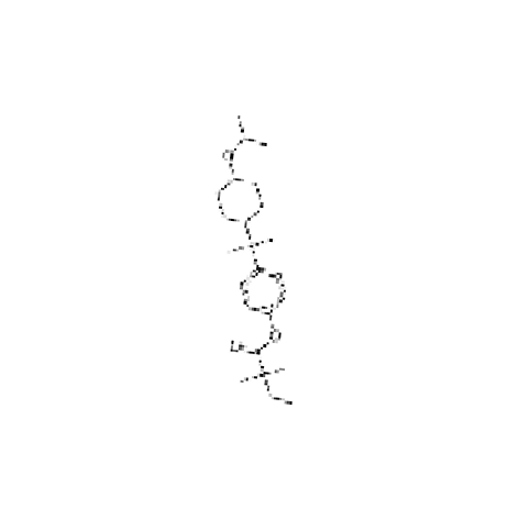 CCC(C)(C)C(=O)Oc1ccc(C(C)(C)C2CCC(OC(C)C)CC2)cc1